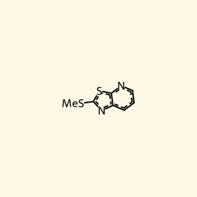 [CH2]Sc1nc2cccnc2s1